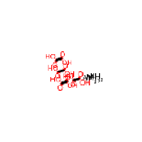 O=C(O)C(=O)O.O=C(O)C(=O)O.O=C(O)C(=O)O.O=C(O)C(=O)O.[AlH3].[AlH3].[AlH3]